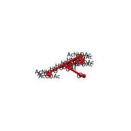 CC(=O)NC1C(OCCCCC(=O)NCCCCC(=O)NCCN(CCNC(=O)CCCCNC(=O)CCCCOC2OC(COC(C)=O)C(OC(C)=O)C(OC(C)=O)C2NC(C)=O)C(=O)CC[C@H](NC(=O)CCCCNC(=O)CCCCOC2OC(COC(C)=O)C(OC(C)=O)C(OC(C)=O)C2NC(C)=O)C(=O)NCCCCCCCCCCC(=O)OCc2ccccc2)OC(COC(C)=O)C(OC(C)=O)C1OC(C)=O